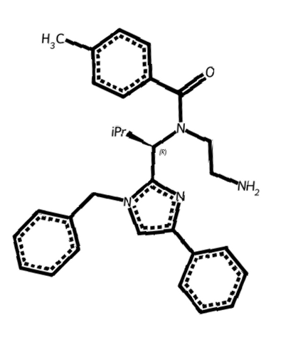 Cc1ccc(C(=O)N(CCN)[C@@H](c2nc(-c3ccccc3)cn2Cc2ccccc2)C(C)C)cc1